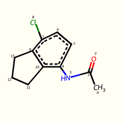 CC(=O)Nc1ccc(Cl)c2c1CCC2